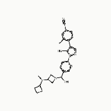 Cc1cc(C#N)ccc1-c1cnn(-c2ccc(C(O)N3CC(N(C)C4CCC4)C3)cn2)c1O